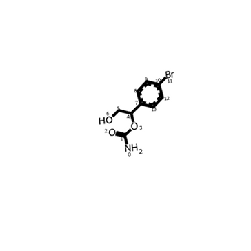 NC(=O)OC(CO)c1ccc(Br)cc1